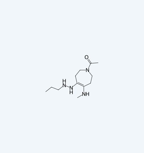 CCCNNC1=C(NC)CCN(C(C)=O)CC1